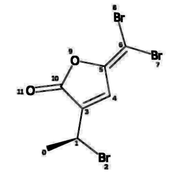 C[C@H](Br)C1=CC(=C(Br)Br)OC1=O